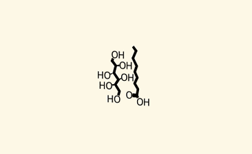 CCCCCCCCC(=O)O.OC[C@@H](O)[C@@H](O)[C@H](O)[C@H](O)CO